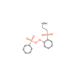 CCCCCCCCCCCCS(=O)(=O)c1ccccc1OOS(=O)(=O)c1ccccc1